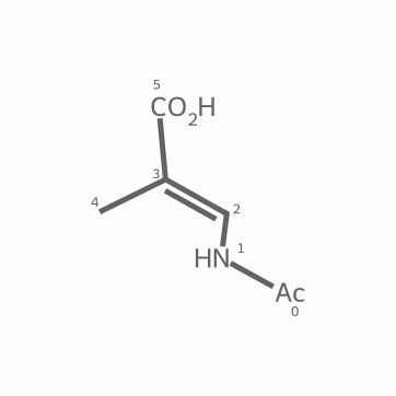 CC(=O)NC=C(C)C(=O)O